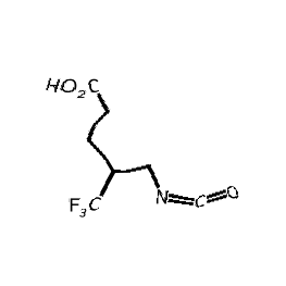 O=C=NCC(CCC(=O)O)C(F)(F)F